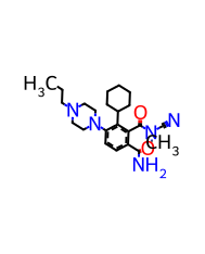 CCCN1CCN(c2ccc(C(N)=O)c(C(=O)N(C)C#N)c2C2CCCCC2)CC1